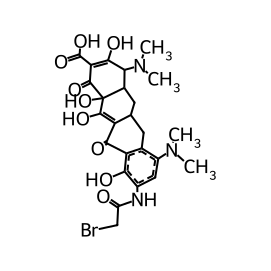 CN(C)c1cc(NC(=O)CBr)c(O)c2c1CC1CC3C(N(C)C)C(O)=C(C(=O)O)C(=O)C3(O)C(O)=C1C2=O